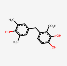 Cc1cc(Cc2ccc(O)c(O)c2C(=O)O)cc(C)c1O